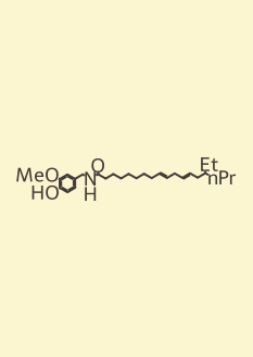 CCCC(CC)CC=CCC=CCCCCCCCC(=O)NCc1ccc(O)c(OC)c1